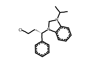 CC(C)N1[CH]N([C@@H](CCCl)c2ccccc2)c2ccccc21